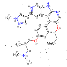 COCCOc1cnc2[nH]c3cnc(-c4cnn(C)c4)cc3c2c1-c1ccc(OCC(C)CN(C)C)cc1